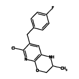 CC1COc2nc(Cl)c(Cc3ccc(F)cc3)cc2N1